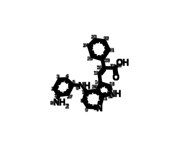 Nc1cccc(Nc2ccnc3[nH]cc(C=C(C(=O)O)c4ccccc4)c23)c1